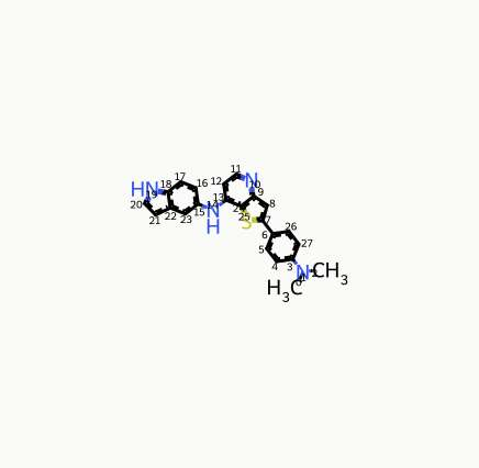 CN(C)c1ccc(-c2cc3nccc(Nc4ccc5[nH]ccc5c4)c3s2)cc1